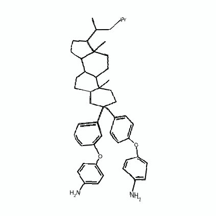 CC(C)CC(C)C1CCC2C3CCC4CC(c5ccc(Oc6ccc(N)cc6)cc5)(c5cccc(Oc6ccc(N)cc6)c5)CCC4(C)C3CCC12C